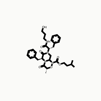 CC(C)CCOC(=O)N1O[C@H](C)C(=O)N2C1CN([C@@H](Cc1ccccc1)C(=O)NCCCO)C(=O)[C@@H]2Cc1ccccc1